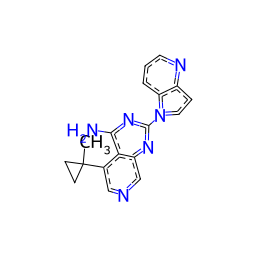 CC1(c2cncc3nc(-n4ccc5ncccc54)nc(N)c23)CC1